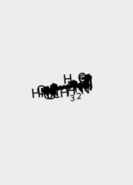 COc1ccccc1-c1cc(-c2cnn(C3CCCN(CCCCCCCc4cccc5c4n(C)c(=O)n5C4CCC(=O)NC4=O)C3)c2)c(N)nn1